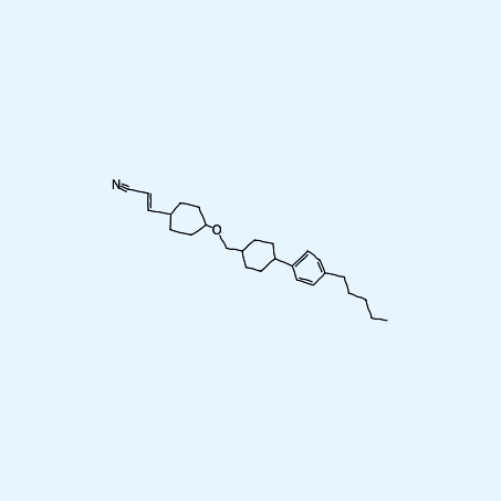 CCCCCc1ccc(C2CCC(COC3CCC(C=CC#N)CC3)CC2)cc1